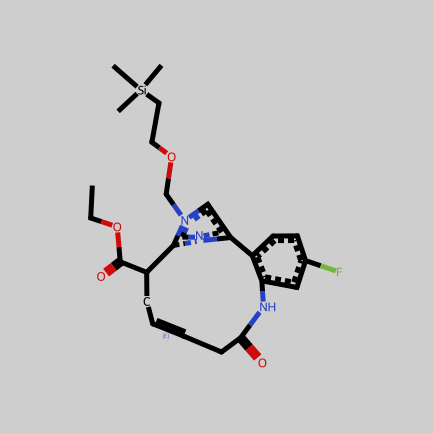 CCOC(=O)C1C/C=C/CC(=O)Nc2cc(F)ccc2-c2cn(COCC[Si](C)(C)C)c1n2